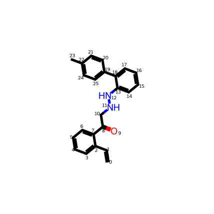 C=Cc1ccccc1C(=O)CNNc1ccccc1-c1ccc(C)cc1